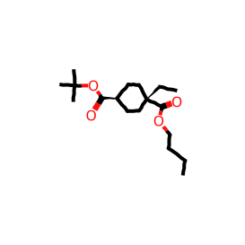 CCCCOC(=O)[C@]1(CC)CC[C@@H](C(=O)OC(C)(C)C)CC1